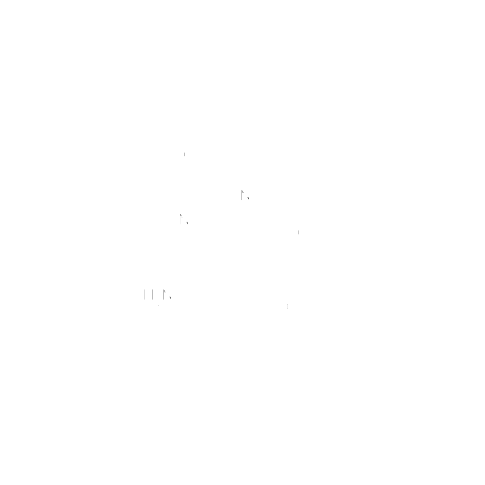 C=C=C(C)c1c(N)nc(Cl)nc1Cl